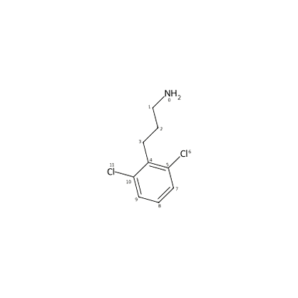 NCCCc1c(Cl)cccc1Cl